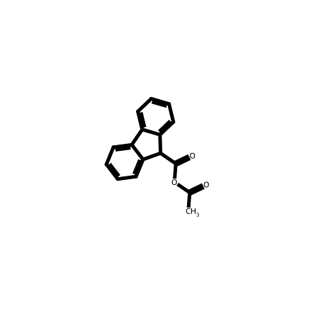 CC(=O)OC(=O)C1c2ccccc2-c2ccccc21